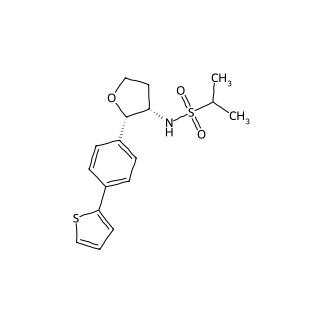 CC(C)S(=O)(=O)N[C@H]1CCO[C@H]1c1ccc(-c2cccs2)cc1